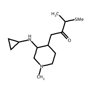 CSC(C)C(=O)CC1CCN(C)CC1NC1CC1